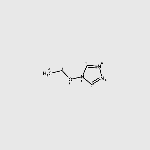 CCOn1[c]nnc1